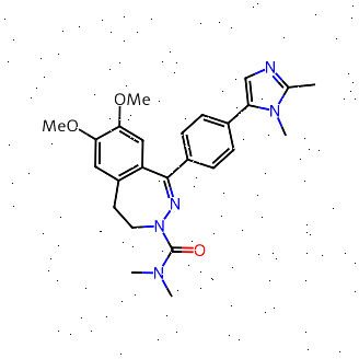 COc1cc2c(cc1OC)C(c1ccc(-c3cnc(C)n3C)cc1)=NN(C(=O)N(C)C)CC2